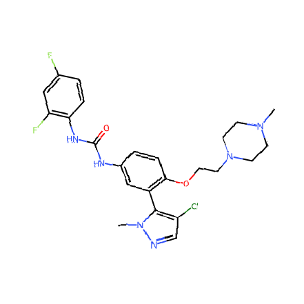 CN1CCN(CCOc2ccc(NC(=O)Nc3ccc(F)cc3F)cc2-c2c(Cl)cnn2C)CC1